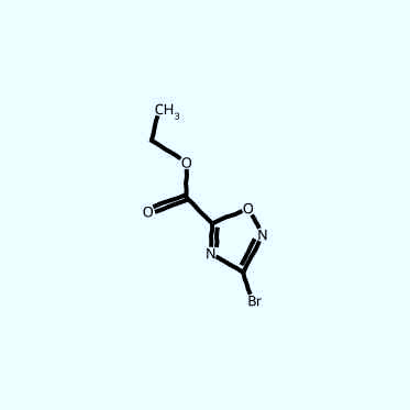 CCOC(=O)c1nc(Br)no1